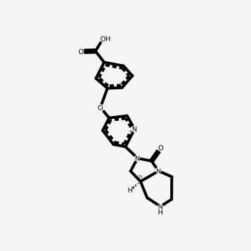 O=C(O)c1cccc(Oc2ccc(N3C[C@@H]4CNCCN4C3=O)nc2)c1